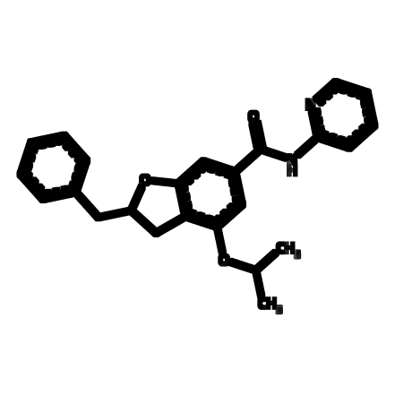 CC(C)Oc1cc(C(=O)Nc2ccccn2)cc2c1CC(Cc1ccccc1)O2